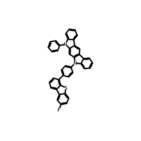 Fc1ccc2sc3c(-c4ccc(-n5c6ccccc6c6cc7c8ccccc8n(-c8ccccc8)c7cc65)cc4)cccc3c2c1